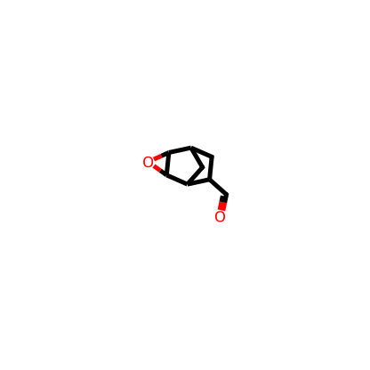 O=CC1CC2CC1C1OC21